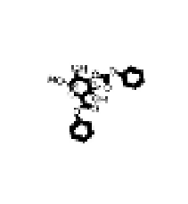 C[C@@]1(O)C(C(=O)Oc2ccccc2)O[C@@H](O)C(O)[C@H]1OC(=O)Oc1ccccc1